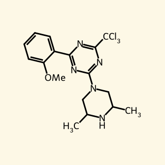 COc1ccccc1-c1nc(N2CC(C)NC(C)C2)nc(C(Cl)(Cl)Cl)n1